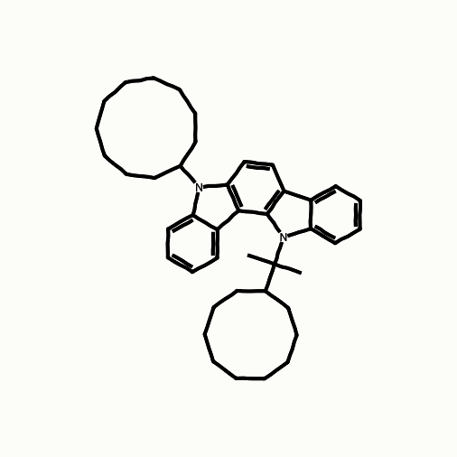 CC(C)(C1CCCCCCCCC1)n1c2ccccc2c2ccc3c(c4ccccc4n3C3CCCCCCCCCC3)c21